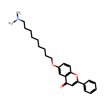 CN(C)CCCCCCCCCOc1ccc2oc(-c3ccccc3)cc(=O)c2c1